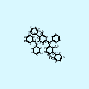 Clc1c(N(c2ccccc2)c2cc(N(c3ccccc3)C3C=CC=CC3)c3c(c2)oc2ccccc23)ccc2oc3ccccc3c12